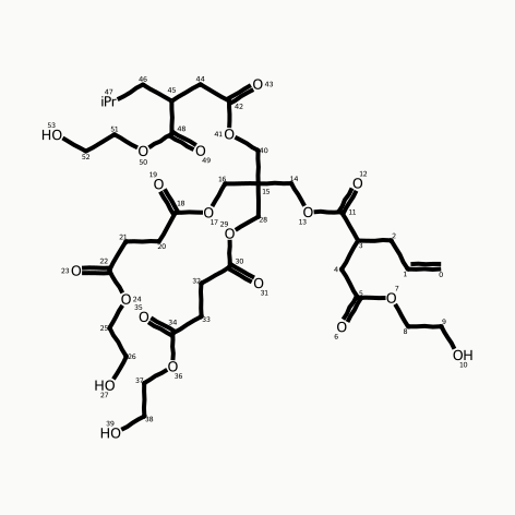 C=CCC(CC(=O)OCCO)C(=O)OCC(COC(=O)CCC(=O)OCCO)(COC(=O)CCC(=O)OCCO)COC(=O)CC(CC(C)C)C(=O)OCCO